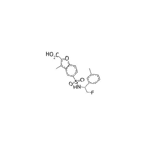 Cc1cccc(C(CF)NS(=O)(=O)c2ccc3oc(C(=O)O)c(C)c3c2)c1